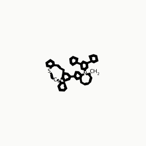 C=C1/C=C\C=C/Cc2cc(-c3ccc4c(c3)C/C=C/c3ccccc3S/C=C/CN4c3ccccc3)ccc2N1c1cc(-c2ccccc2)cc(-c2ccccc2)c1